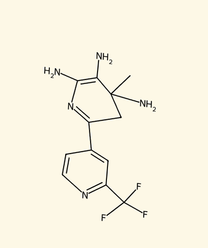 CC1(N)CC(c2ccnc(C(F)(F)F)c2)=NC(N)=C1N